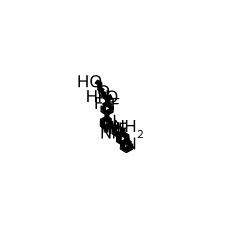 Nc1ccc(-c2cc(F)c(C(=O)NOCCO)c(F)c2)nc1N(N)Cc1cc2cccnc2cc1F